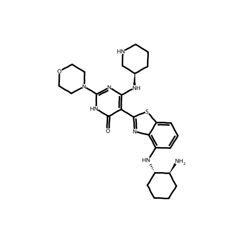 N[C@H]1CCCC[C@@H]1Nc1cccc2sc(-c3c(N[C@@H]4CCCNC4)nc(N4CCOCC4)[nH]c3=O)nc12